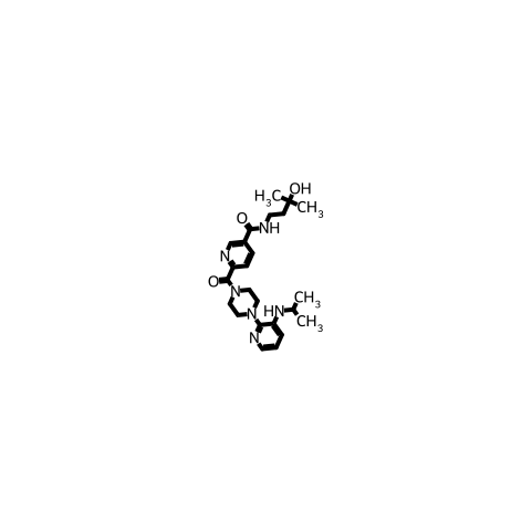 CC(C)Nc1cccnc1N1CCN(C(=O)c2ccc(C(=O)NCCC(C)(C)O)cn2)CC1